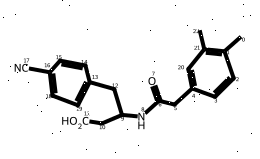 Cc1ccc(CC(=O)NC(CC(=O)O)Cc2ccc(C#N)cc2)cc1C